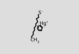 CCCCCCCCCCCC[S-].[Hg+][c]1ccccc1